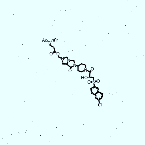 CCCN(CCC(=O)OCN1C=C2C(=O)N(C3CCN(C(=O)[C@H](O)CS(=O)(=O)c4ccc5cc(Cl)ccc5c4)CC3)CN2C1)C(C)=O